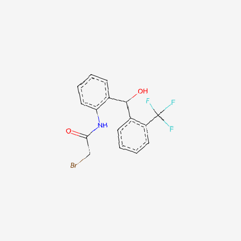 O=C(CBr)Nc1ccccc1C(O)c1ccccc1C(F)(F)F